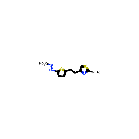 CCOC(=O)NNc1ccc(CCc2csc(NC(C)=O)n2)s1